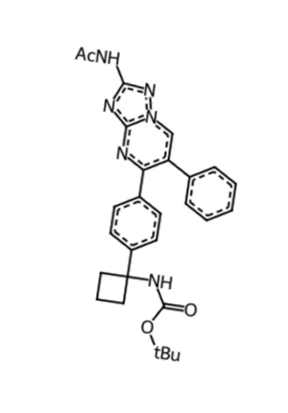 CC(=O)Nc1nc2nc(-c3ccc(C4(NC(=O)OC(C)(C)C)CCC4)cc3)c(-c3ccccc3)cn2n1